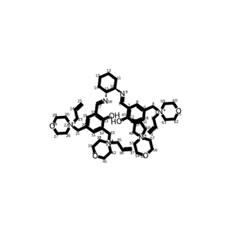 C=CC[N+]1(Cc2cc(/C=N/[C@@H]3CCCC[C@H]3/N=C/c3cc(C[N+]4(CC=C)CCOCC4)cc(C[N+]4(CC=C)CCOCC4)c3O)c(O)c(C[N+]3(CC=C)CCOCC3)c2)CCOCC1